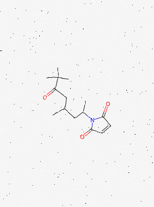 CC(CC(=O)C(C)(C)C)CC(C)N1C(=O)C=CC1=O